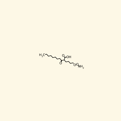 CCCCCCCCC(=O)C(CCCCOON)C(=O)O